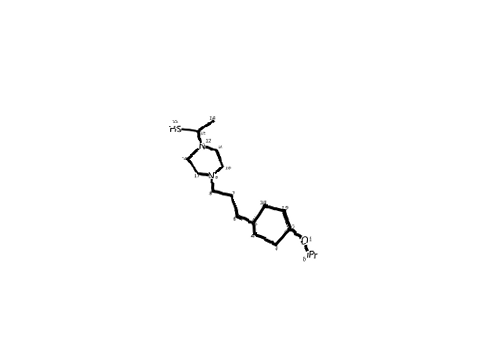 CC(C)OC1CCC(CCCN2CCN(C(C)S)CC2)CC1